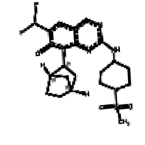 CS(=O)(=O)N1CCC(Nc2ncc3cc(C(F)F)c(=O)n([C@H]4C[C@@H]5CC[C@H]4C5)c3n2)CC1